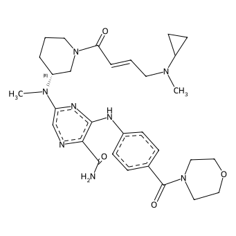 CN(CC=CC(=O)N1CCC[C@@H](N(C)c2cnc(C(N)=O)c(Nc3ccc(C(=O)N4CCOCC4)cc3)n2)C1)C1CC1